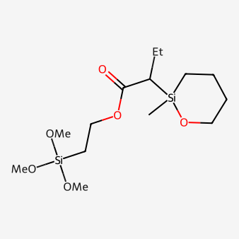 CCC(C(=O)OCC[Si](OC)(OC)OC)[Si]1(C)CCCCO1